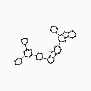 c1ccc(-c2nc(-c3ccccc3)nc(-c3ccc(-c4cccc5c4sc4cc(-c6nc(-c7ccccc7)c7sc8ccccc8c7n6)ccc45)cc3)n2)cc1